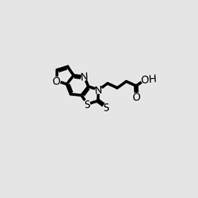 O=C(O)CCCn1c(=S)sc2cc3occc3nc21